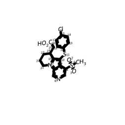 CS(=O)(=O)c1cncc2c1c(Sc1ccc(Cl)cc1)c1n2CCCC1CC(=O)O